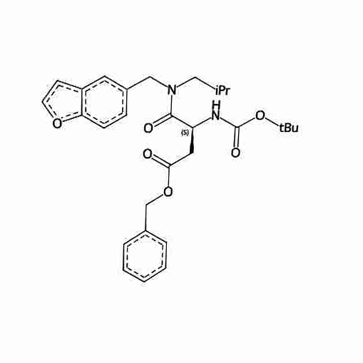 CC(C)CN(Cc1ccc2occc2c1)C(=O)[C@H](CC(=O)OCc1ccccc1)NC(=O)OC(C)(C)C